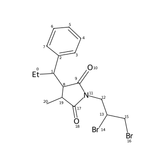 CCC(c1ccccc1)C1C(=O)N(CC(Br)CBr)C(=O)C1C